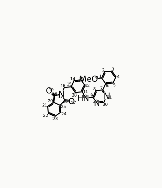 COc1ccccc1-c1cc(Nc2cccc(CN3C(=O)c4ccccc4C3=O)c2)ncn1